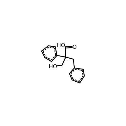 O=C(O)C(CO)(Cc1ccccc1)c1ccccc1